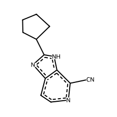 N#Cc1nccc2nc(C3CCCC3)[nH]c12